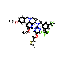 CCN(Cc1ccc(OC)cc1)c1ccc(OC)nc1CN(Cc1cc(C(F)(F)F)cc(C(F)(F)F)c1)c1ncc(OCCSC)cn1